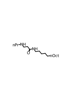 CCCCCCCCCCCCCNC(=O)CCNCCC